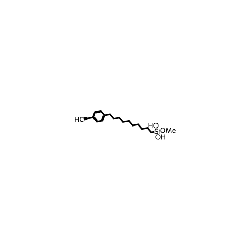 C#Cc1ccc(CCCCCCCCCC[Si](O)(O)OC)cc1